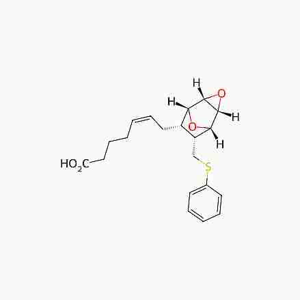 O=C(O)CCC/C=C\C[C@H]1[C@@H](CSc2ccccc2)[C@@H]2O[C@H]1[C@@H]1O[C@@H]12